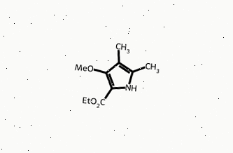 CCOC(=O)c1[nH]c(C)c(C)c1OC